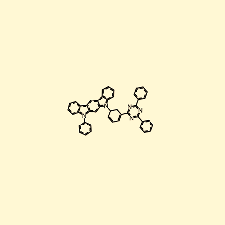 C1=CC(n2c3ccccc3c3cc4c5ccccc5n(-c5ccccc5)c4cc32)CC(c2nc(-c3ccccc3)nc(-c3ccccc3)n2)=C1